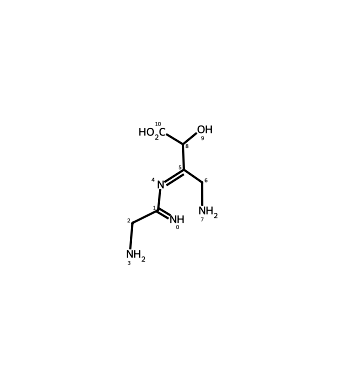 N=C(CN)N=C(CN)C(O)C(=O)O